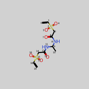 C=CS(=O)(=O)CC(=O)NC(C)NC(=O)CS(=O)(=O)C=C